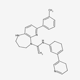 C=C(NC1=CC(C2=CN=CCC2)=CCC1)N1CCCNc2ccc(-c3cccc(C)c3)nc21